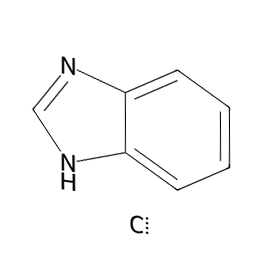 [C].c1ccc2[nH]cnc2c1